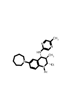 CC[C@H]1[C@H](C)[C@@H](Nc2cnc(C)cn2)c2cc(N3CCCCCC3)ccc2N1C(C)=O